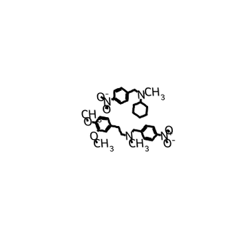 CN(Cc1ccc([N+](=O)[O-])cc1)C1CCCCC1.COc1ccc(CCN(C)Cc2ccc([N+](=O)[O-])cc2)cc1OC